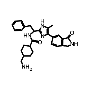 Cc1[nH]c(C(Cc2ccccc2)NC(=O)C2CCC(CN)CC2)nc1-c1ccc2c(c1)C(=O)NC2